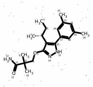 CC[C@@H](C)c1c(OCC(C)(C)C(N)=O)n[nH]c1-c1cc(C)cc(C)c1